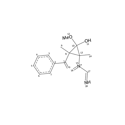 C=C(c1ccccc1)C1(C)C(O)(OC)C1(C)[N+](=C)C=N